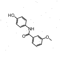 COc1cccc(C(=O)Nc2ccc(O)cc2)c1